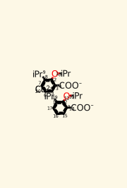 CC(C)Oc1c(C(=O)[O-])cccc1C(C)C.CC(C)Oc1c(C(=O)[O-])cccc1C(C)C.[Cu+2]